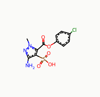 Cn1nc(N)c(S(=O)(=O)O)c1C(=O)Oc1ccc(Cl)cc1